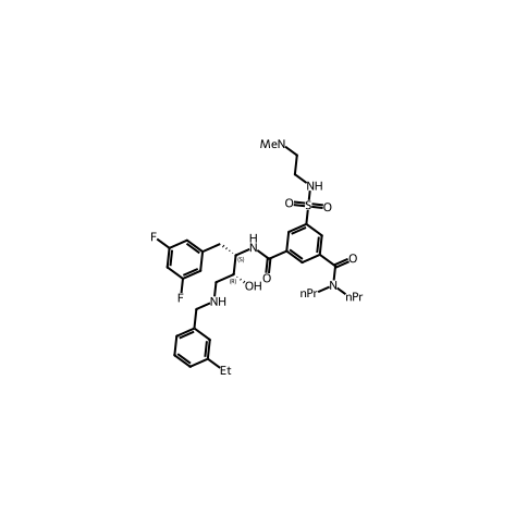 CCCN(CCC)C(=O)c1cc(C(=O)N[C@@H](Cc2cc(F)cc(F)c2)[C@H](O)CNCc2cccc(CC)c2)cc(S(=O)(=O)NCCNC)c1